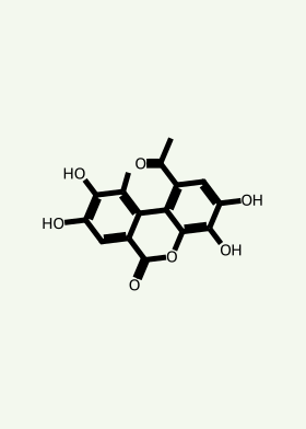 CC(=O)c1cc(O)c(O)c2oc(=O)c3cc(O)c(O)c(C)c3c12